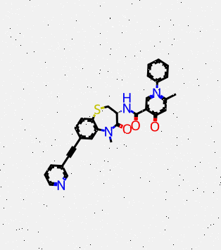 Cc1cc(=O)c(C(=O)N[C@H]2CSc3ccc(C#Cc4cccnc4)cc3N(C)C2=O)cn1-c1ccccc1